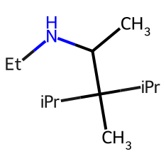 CCNC(C)C(C)(C(C)C)C(C)C